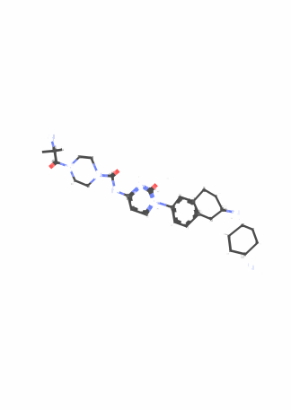 CC(C)(N)C(=O)N1CCN(C(=O)Nc2ccn(-c3ccc4c(c3)CCC(N[C@H]3CC[C@@H](N)CC3)C4)c(=O)n2)CC1